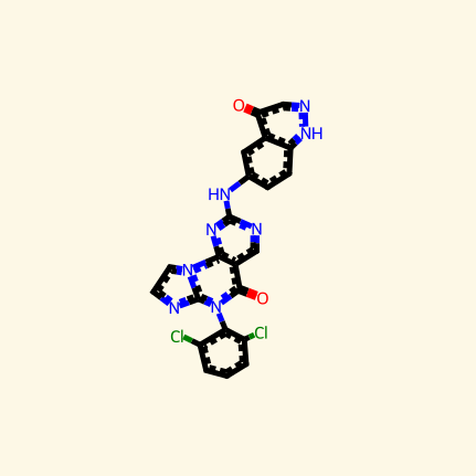 O=c1cn[nH]c2ccc(Nc3ncc4c(=O)n(-c5c(Cl)cccc5Cl)c5nccn5c4n3)cc12